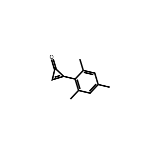 Cc1cc(C)c(-c2cc2=O)c(C)c1